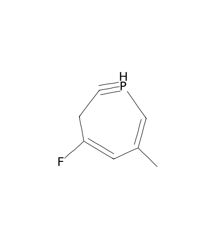 CC1=C[PH]#CCC(F)=C1